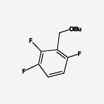 CC(C)COCc1c(F)ccc(F)c1F